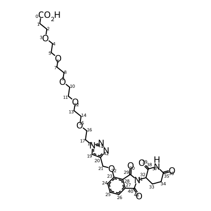 O=C(O)CCOCCOCCOCCOCCOCCn1cc(COc2cccc3c2C(=O)N(C2CCC(=O)NC2=O)C3=O)nn1